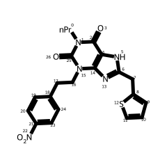 CCCn1c(=O)c2[nH]c(Cc3cccs3)nc2n(CCc2ccc([N+](=O)[O-])cc2)c1=O